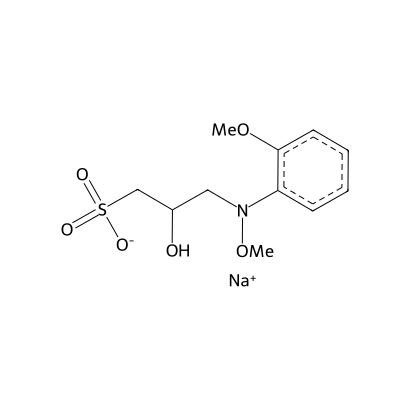 COc1ccccc1N(CC(O)CS(=O)(=O)[O-])OC.[Na+]